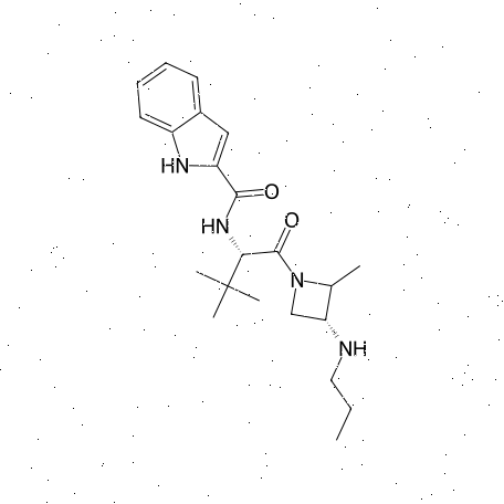 CCCN[C@@H]1CN(C(=O)[C@@H](NC(=O)c2cc3ccccc3[nH]2)C(C)(C)C)C1C